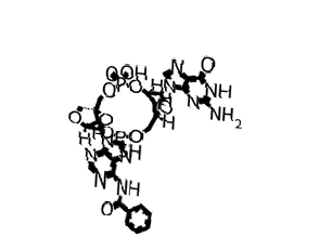 Nc1nc2c(ncn2[C@@H]2O[C@@H]3COP(S)O[C@H]4[C@H]5OC[C@]4(COP(=O)(O)O[C@@H]2[C@H]3F)O[C@H]5n2cnc3c(NC(=O)c4ccccc4)ncnc32)c(=O)[nH]1